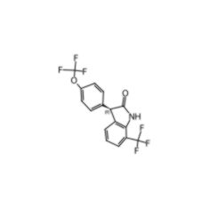 O=C1Nc2c(cccc2C(F)(F)F)[C@H]1c1ccc(OC(F)(F)F)cc1